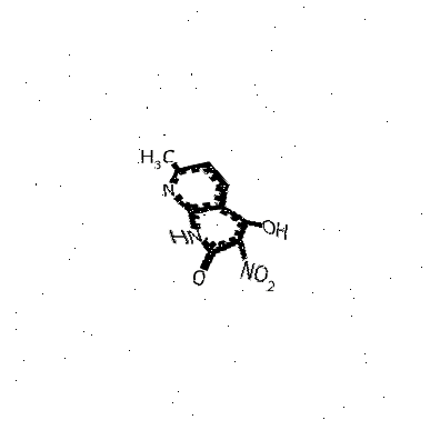 Cc1ccc2c(O)c([N+](=O)[O-])c(=O)[nH]c2n1